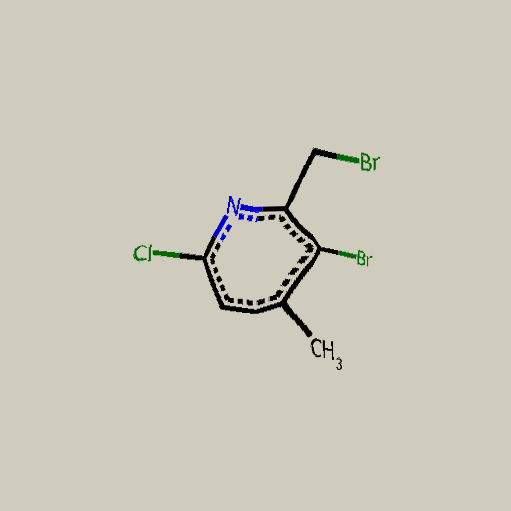 Cc1cc(Cl)nc(CBr)c1Br